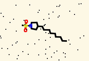 CCCCCCCCCC1CCN(S(C)(=O)=O)CC1